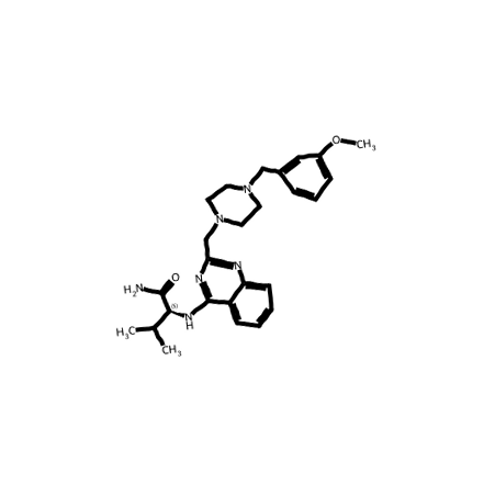 COc1cccc(CN2CCN(Cc3nc(N[C@H](C(N)=O)C(C)C)c4ccccc4n3)CC2)c1